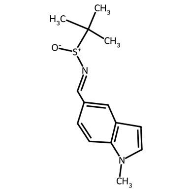 Cn1ccc2cc(C=N[S+]([O-])C(C)(C)C)ccc21